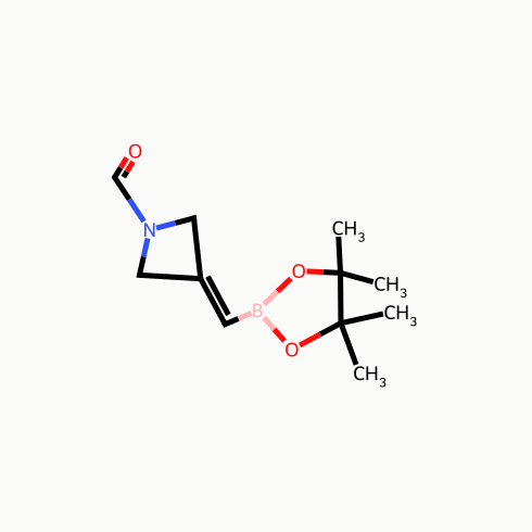 CC1(C)OB(C=C2CN(C=O)C2)OC1(C)C